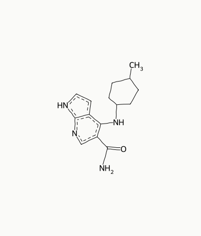 CC1CCC(Nc2c(C(N)=O)cnc3[nH]ccc23)CC1